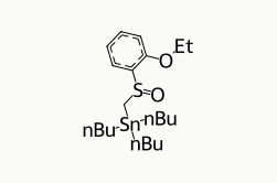 CCC[CH2][Sn]([CH2]CCC)([CH2]CCC)[CH2]S(=O)c1ccccc1OCC